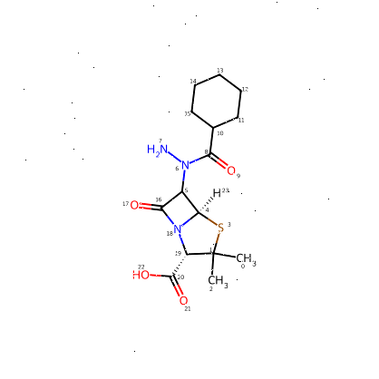 CC1(C)S[C@@H]2C(N(N)C(=O)C3CCCCC3)C(=O)N2[C@H]1C(=O)O